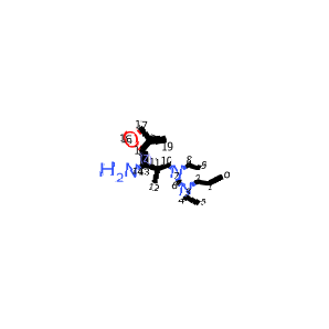 C=CCN(CC)CN(CC)CC(C)/C(N)=C1/OCC1=C